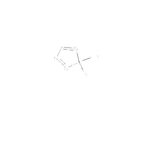 CC1(Br)N=CN=N1